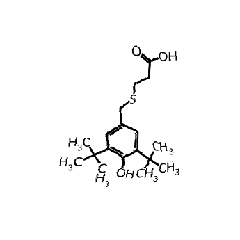 CC(C)(C)c1cc(CSCCC(=O)O)cc(C(C)(C)C)c1O